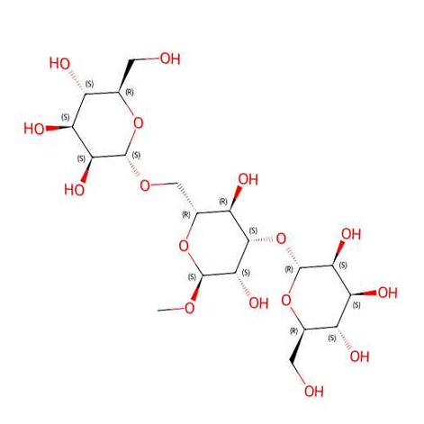 CO[C@H]1O[C@H](CO[C@H]2O[C@H](CO)[C@@H](O)[C@H](O)[C@@H]2O)[C@@H](O)[C@H](O[C@H]2O[C@H](CO)[C@@H](O)[C@H](O)[C@@H]2O)[C@@H]1O